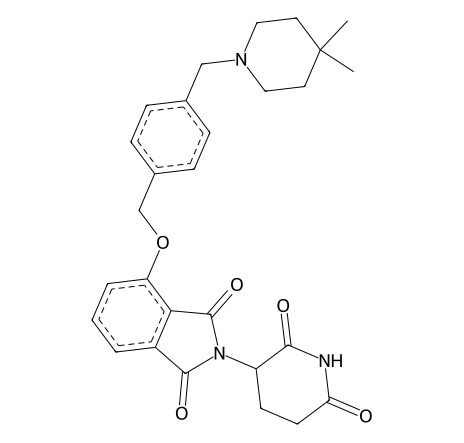 CC1(C)CCN(Cc2ccc(COc3cccc4c3C(=O)N(C3CCC(=O)NC3=O)C4=O)cc2)CC1